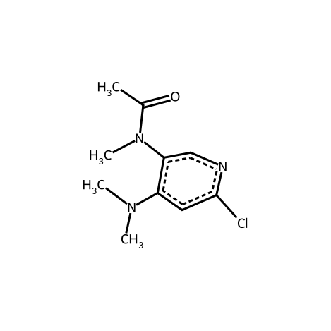 CC(=O)N(C)c1cnc(Cl)cc1N(C)C